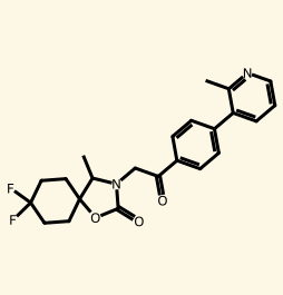 Cc1ncccc1-c1ccc(C(=O)CN2C(=O)OC3(CCC(F)(F)CC3)C2C)cc1